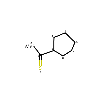 CSC(=S)C1CCCCC1